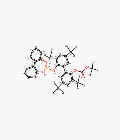 CC(C)(C)OC(=O)Oc1c(-c2cc(C(C)(C)C)cc(C(C)(C)C)c2Op2oc3ccccc3c3ccccc3o2)cc(C(C)(C)C)cc1C(C)(C)C